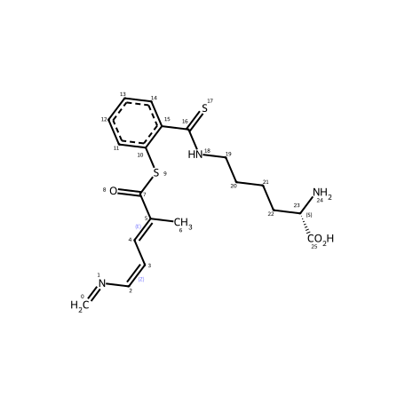 C=N/C=C\C=C(/C)C(=O)Sc1ccccc1C(=S)NCCCC[C@H](N)C(=O)O